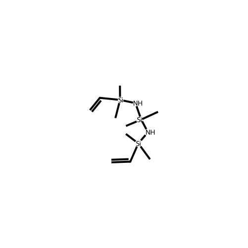 C=C[Si](C)(C)N[Si](C)(C)N[Si](C)(C)C=C